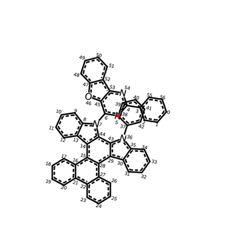 c1ccc(-c2nc(-n3c4ccccc4c4c5c6ccccc6c6ccccc6c5c5c6ccccc6n(-c6ccccc6)c5c43)c3oc4ccccc4c3n2)cc1